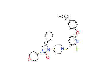 O=C(O)c1ccc(Oc2ccc(CN3CCC(N4C(=O)N(C5CCOCC5)C[C@H]4c4ccccc4)CC3)c(F)n2)cc1